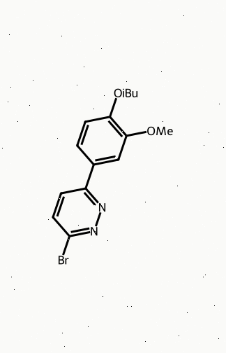 COc1cc(-c2ccc(Br)nn2)ccc1OCC(C)C